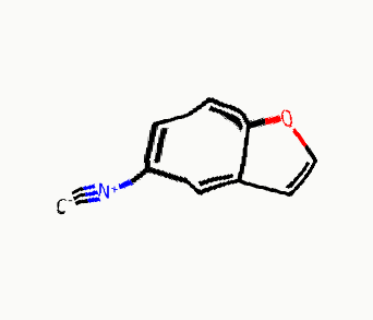 [C-]#[N+]c1ccc2occc2c1